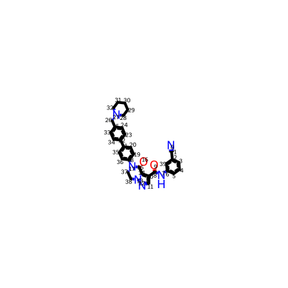 N#Cc1cccc(NC(=O)c2cnn3c2C(=O)N(c2ccc(-c4ccc(CN5CCCCC5)cc4)cc2)CC3)c1